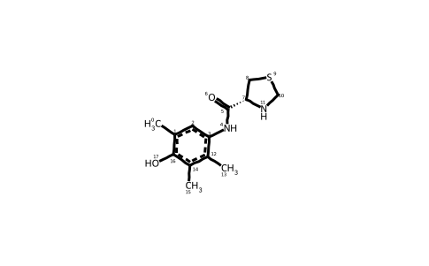 Cc1cc(NC(=O)[C@@H]2CSCN2)c(C)c(C)c1O